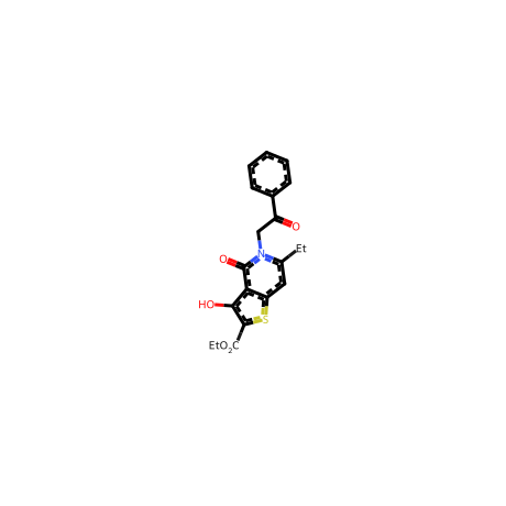 CCOC(=O)c1sc2cc(CC)n(CC(=O)c3ccccc3)c(=O)c2c1O